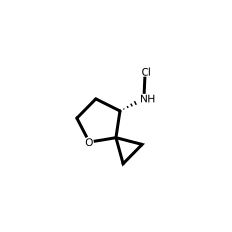 ClN[C@H]1CCOC12CC2